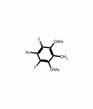 COc1c(C)c(OC)c(F)c(C(C)=O)c1F